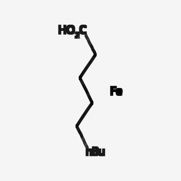 CCCCCCCCC(=O)O.[Fe]